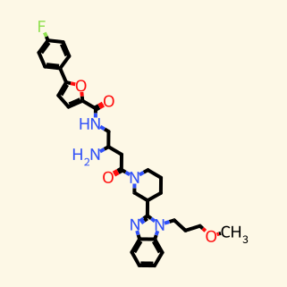 COCCCn1c(C2CCCN(C(=O)CC(N)CNC(=O)c3ccc(-c4ccc(F)cc4)o3)C2)nc2ccccc21